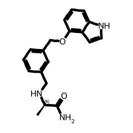 C[C@@H](NCc1cccc(COc2cccc3[nH]ccc23)c1)C(N)=O